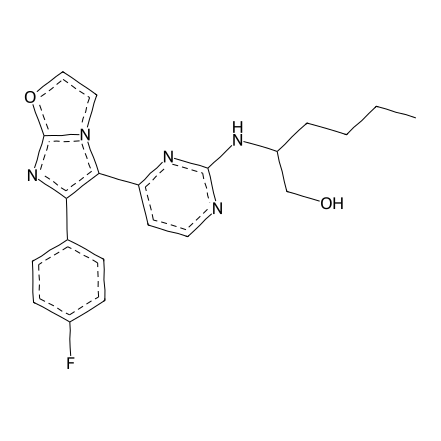 CCCCC(CO)Nc1nccc(-c2c(-c3ccc(F)cc3)nc3occn23)n1